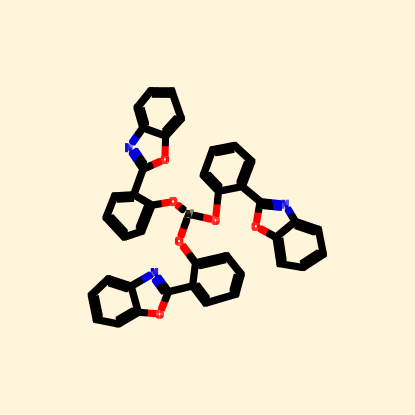 c1ccc(-c2nc3ccccc3o2)c([O][Al]([O]c2ccccc2-c2nc3ccccc3o2)[O]c2ccccc2-c2nc3ccccc3o2)c1